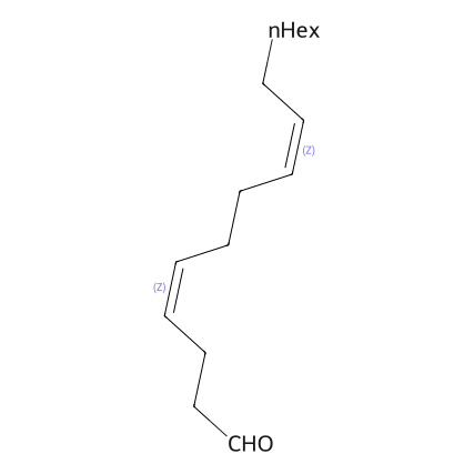 CCCCCCC/C=C\CC/C=C\CCC=O